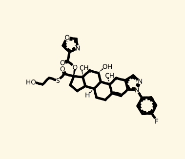 C[C@]12Cc3cnn(-c4ccc(F)cc4)c3C=C1CC[C@@H]1C2[C@@H](O)C[C@@]2(C)C1CC[C@]2(OC(=O)c1cocn1)C(=O)SCCO